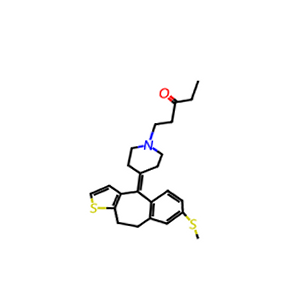 CCC(=O)CCN1CCC(=C2c3ccc(SC)cc3CCc3sccc32)CC1